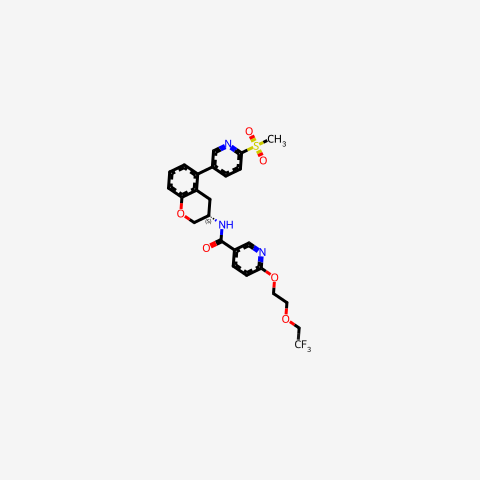 CS(=O)(=O)c1ccc(-c2cccc3c2C[C@H](NC(=O)c2ccc(OCCOCC(F)(F)F)nc2)CO3)cn1